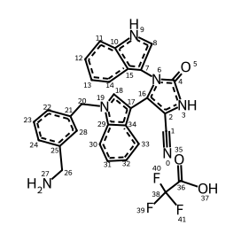 N#Cc1[nH]c(=O)n(-c2c[nH]c3ccccc23)c1-c1cn(Cc2cccc(CN)c2)c2ccccc12.O=C(O)C(F)(F)F